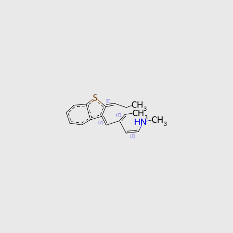 C/C=C(\C=C/NC)/C=c1\c(=C/CC)sc2ccccc12